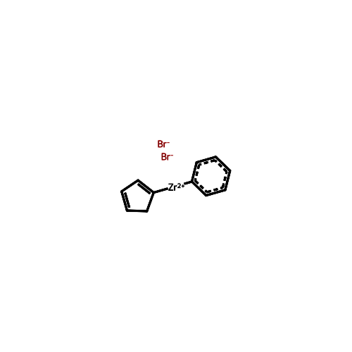 C1=CC[C]([Zr+2][c]2ccccc2)=C1.[Br-].[Br-]